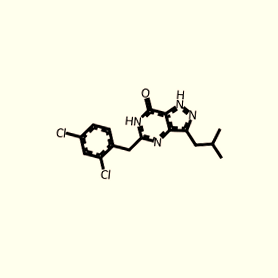 CC(C)Cc1n[nH]c2c(=O)[nH]c(Cc3ccc(Cl)cc3Cl)nc12